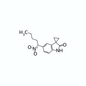 CCCCC(c1ccc2c(c1)C1(CC1)C(=O)N2)[N+](=O)[O-]